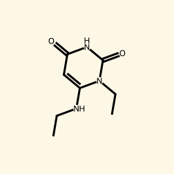 CCNc1cc(=O)[nH]c(=O)n1CC